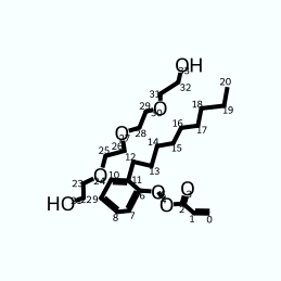 C=CC(=O)OOc1ccccc1CCCCCCCCC.OCCOCCOCCOCCO